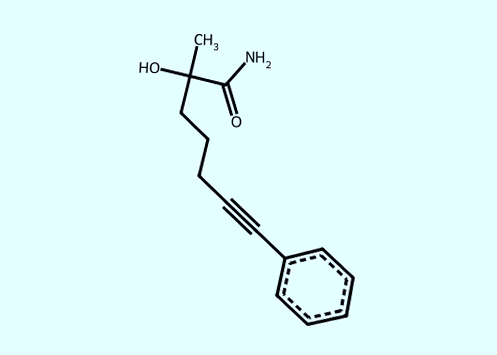 CC(O)(CCCC#Cc1ccccc1)C(N)=O